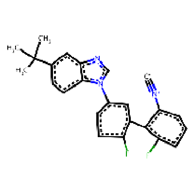 [C-]#[N+]c1cccc(F)c1-c1cc(-n2cnc3cc(C(C)(C)C)ccc32)ccc1F